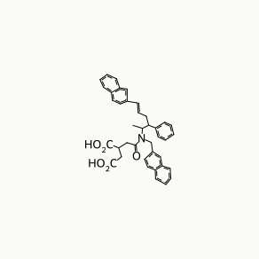 CC(C(C/C=C/c1ccc2ccccc2c1)c1ccccc1)N(Cc1ccc2ccccc2c1)C(=O)CC(CC(=O)O)C(=O)O